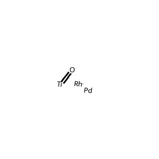 [O]=[Ti].[Pd].[Rh]